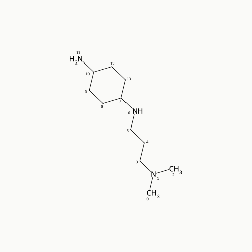 CN(C)CCCNC1CCC(N)CC1